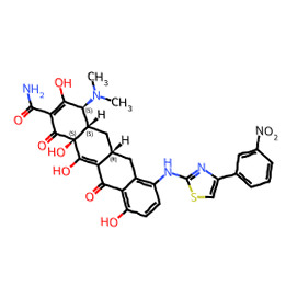 CN(C)[C@@H]1C(O)=C(C(N)=O)C(=O)[C@@]2(O)C(O)=C3C(=O)c4c(O)ccc(Nc5nc(-c6cccc([N+](=O)[O-])c6)cs5)c4C[C@H]3C[C@@H]12